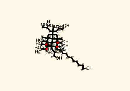 O=C(O)C(CC(O)CO)(CC(O)CO)C(CC(O)CO)(CC(O)CO)C(CC(O)CO)(CC(O)CO)C(CC(O)CO)(CC(O)CO)C(CCCCCCCCCCCCO)(CC(O)CO)CC(O)CO